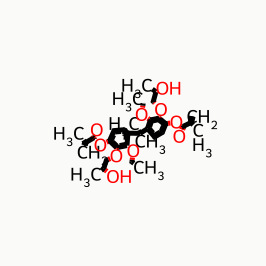 C=C(C)C(=O)Oc1ccc(C(C)(C)c2ccc(OC(=O)C(=C)C)c(OCC(C)O)c2OCC)c(OCC)c1OCC(C)O